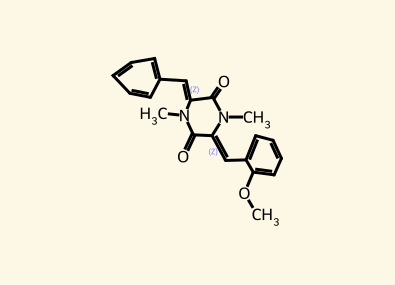 COc1ccccc1/C=c1/c(=O)n(C)/c(=C\c2ccccc2)c(=O)n1C